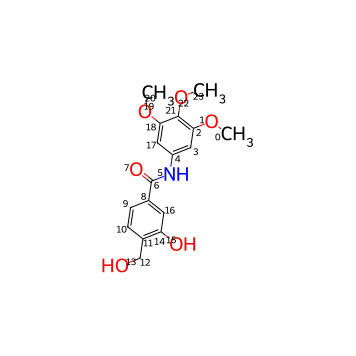 COc1cc(NC(=O)c2ccc(CO)c(O)c2)cc(OC)c1OC